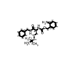 CC(C)(C)SSC[C@H](NC(=O)OCc1ccccc1N)C(=O)NCc1ccccc1